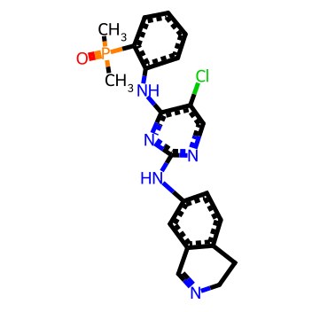 CP(C)(=O)c1ccccc1Nc1nc(Nc2ccc3c(c2)C=NCC3)ncc1Cl